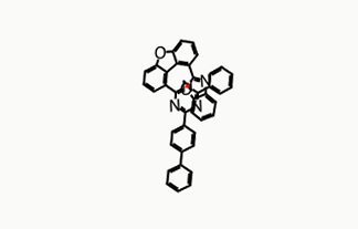 c1ccc(-c2ccc(-c3nc(-c4ccccc4)nc(-c4cccc5oc6cccc(-c7nc8ccccc8o7)c6c45)n3)cc2)cc1